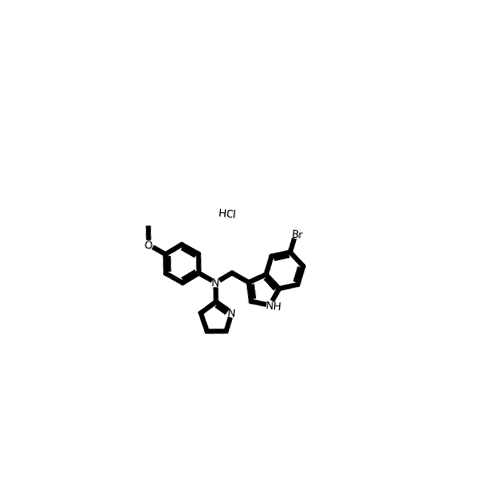 COc1ccc(N(Cc2c[nH]c3ccc(Br)cc23)C2=NCCC2)cc1.Cl